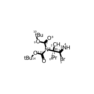 CC(C)[C@](C)(C(=N)Br)N(C(=O)OC(C)(C)C)C(=O)OC(C)(C)C